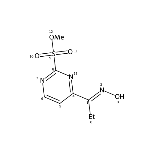 CCC(=NO)c1ccnc(S(=O)(=O)OC)n1